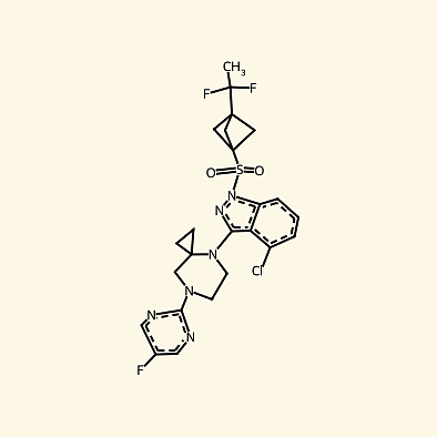 CC(F)(F)C12CC(S(=O)(=O)n3nc(N4CCN(c5ncc(F)cn5)CC45CC5)c4c(Cl)cccc43)(C1)C2